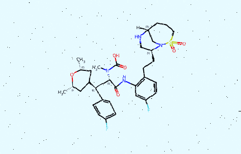 C[C@@H]1CC([C@H](c2ccc(F)cc2)[C@@H](C(=O)Nc2cc(F)ccc2CC[C@H]2CN[C@@H]3CCCS(=O)(=O)N2C3)N(C)C(=O)O)C[C@H](C)O1